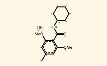 COc1cc(C)cc(OC)c1C(=O)PC1CCCCC1.[LiH]